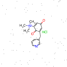 C[N+](C)(C)C1=CC(=O)C=C(Cc2cccnc2)C1=O.Cl